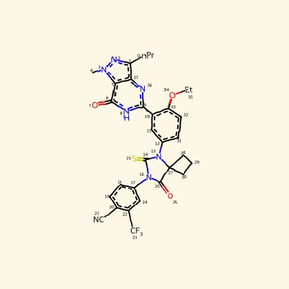 CCCc1nn(C)c2c(=O)[nH]c(-c3cc(N4C(=S)N(c5ccc(C#N)c(C(F)(F)F)c5)C(=O)C45CCC5)ccc3OCC)nc12